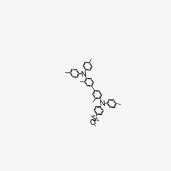 CO[Si](C)(C)c1ccc(N(c2ccc(C)cc2)c2ccc(-c3ccc(N(c4ccc(C)cc4)c4ccc(C)cc4)c(C)c3)cc2C)cc1